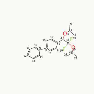 CC(C)OC(c1ccc(-c2ccccc2)cc1)C(F)(F)OC(C)C